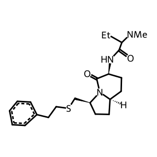 CCC(NC)C(=O)N[C@H]1CC[C@H]2CC[C@@H](CSCCc3ccccc3)N2C1=O